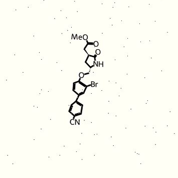 COC(=O)C[C@@H]1C[C@@H](COc2ccc(-c3ccc(C#N)cc3)cc2Br)NC1=O